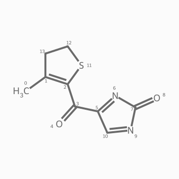 CC1=C(C(=O)C2=NC(=O)N=C2)SCC1